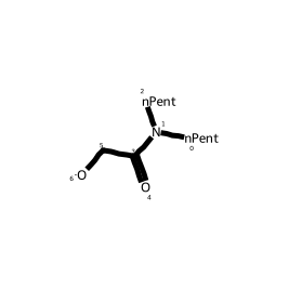 CCCCCN(CCCCC)C(=O)C[O]